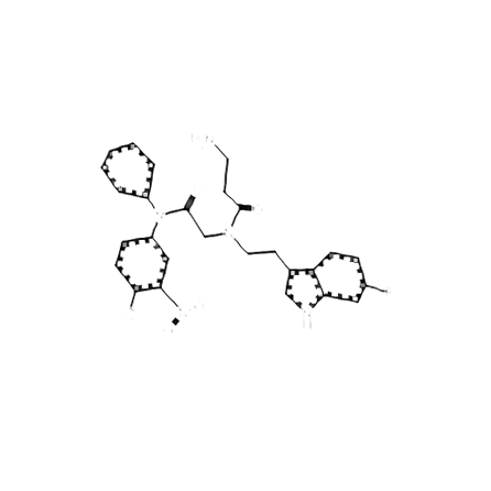 NCCC(=O)N(CCc1c[nH]c2cc(F)ccc12)CC(=O)N(c1ccccc1)c1ccc(Cl)c([N+](=O)[O-])c1